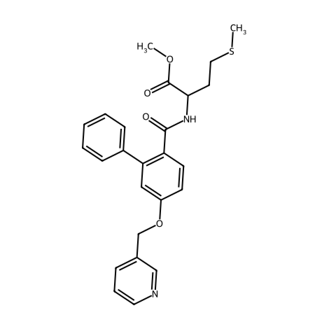 COC(=O)C(CCSC)NC(=O)c1ccc(OCc2cccnc2)cc1-c1ccccc1